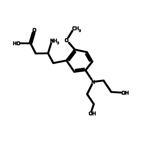 COc1ccc(N(CCO)CCO)cc1CC(N)CC(=O)O